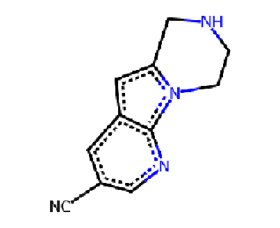 N#Cc1cnc2c(c1)cc1n2CCNC1